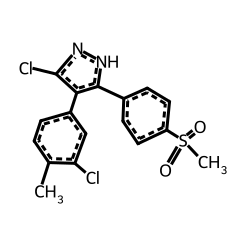 Cc1ccc(-c2c(Cl)n[nH]c2-c2ccc(S(C)(=O)=O)cc2)cc1Cl